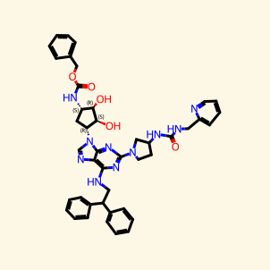 O=C(NCc1ccccn1)NC1CCN(c2nc(NCC(c3ccccc3)c3ccccc3)c3ncn([C@@H]4C[C@H](NC(=O)OCc5ccccc5)[C@@H](O)[C@H]4O)c3n2)C1